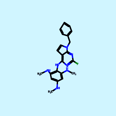 CNc1cc(NC)c(Nc2nc(F)nc3c2ccn3Cc2ccccc2)c(NC)c1